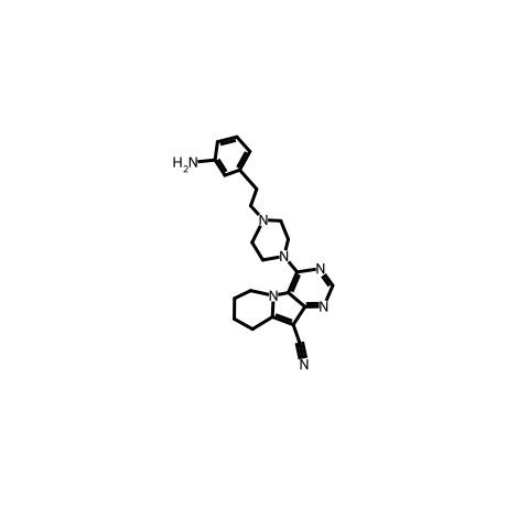 N#Cc1c2n(c3c(N4CCN(CCc5cccc(N)c5)CC4)ncnc13)CCCC2